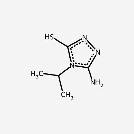 CC(C)n1c(N)nnc1S